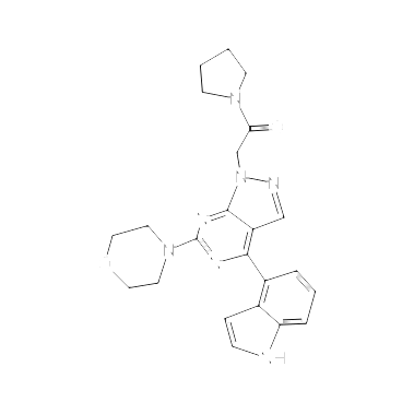 O=C(Cn1ncc2c(-c3cccc4[nH]ccc34)nc(N3CCOCC3)nc21)N1CCCC1